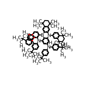 CC(C)(C)c1ccc(N(c2ccc(C(C)(C)C)cc2)c2cc3c4c(c2)N(c2ccc(C(C)(C)C)cc2-c2ccccc2)c2c(ccc5sc6c(C(C)(C)C)cccc6c25)B4c2cc4c(cc2N3c2ccc3c(c2)C(C)(C)CCC3(C)C)C(C)(C)CCC4(C)C)cc1